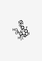 Cc1cc2cnc3cc(F)c(-c4ccc(Oc5ncccn5)cc4Cl)cc3c2n1[C@H]1CCN(C(=O)CO)C[C@@H]1F